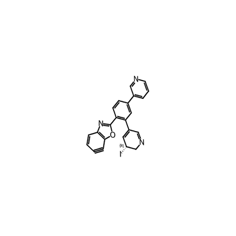 I[C@@H]1C=C(c2cc(-c3cccnc3)ccc2-c2nc3ccc#cc3o2)C=NC1